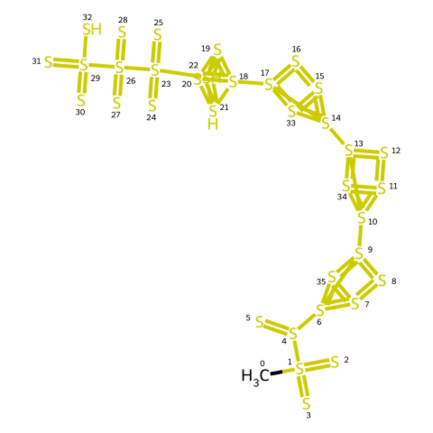 CS(=S)(=S)S(=S)S12=S3=S=S1(S14=S5=S=S1(S16=S7=S=S1(S18=S9=S=1=[SH]8=[SH]=9S(=S)(=S)S(=S)(=S)S(=S)(=S)S)=S=7=6)=S=5=4)=S=3=2